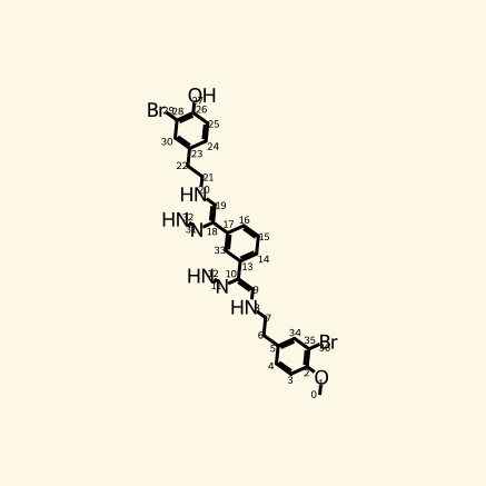 COc1ccc(CCN/C=C(\N=N)c2cccc(/C(=C/NCCc3ccc(O)c(Br)c3)N=N)c2)cc1Br